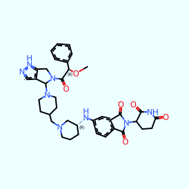 CO[C@@H](C(=O)N1Cc2[nH]n[c]c2C1N1CCC(CN2CCC[C@@H](Nc3ccc4c(c3)C(=O)N(C3CCC(=O)NC3=O)C4=O)C2)CC1)c1ccccc1